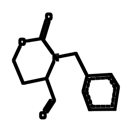 O=CC1CCOC(=O)N1Cc1ccccc1